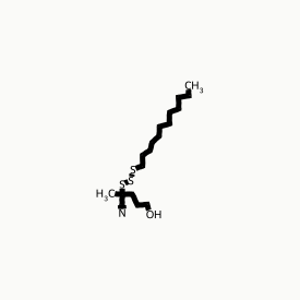 CCCCCCCCCCCCSSSC(C)(C#N)CCCO